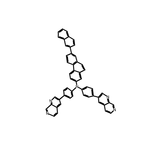 c1ccc2cc(-c3ccc4c(ccc5cc(N(c6ccc(-c7cnc8cnccc8c7)cc6)c6ccc(-c7cnc8cnccc8c7)cc6)ccc54)c3)ccc2c1